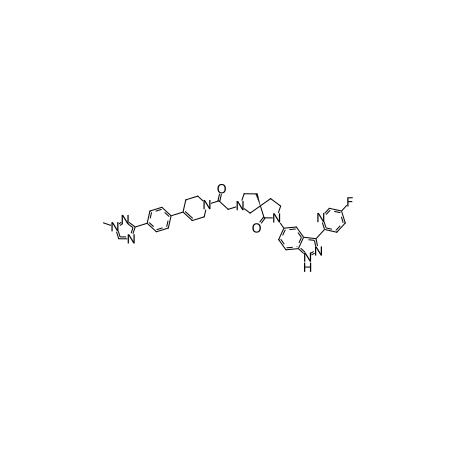 Cn1cnc(-c2ccc(C3=CCN(C(=O)CN4CC[C@]5(CCN(c6ccc7[nH]nc(-c8ccc(F)cn8)c7c6)C5=O)C4)CC3)cc2)n1